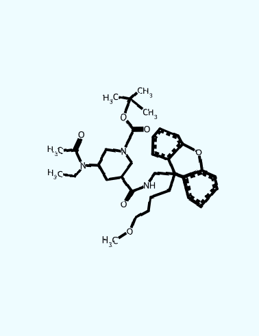 CCN(C(C)=O)C1CC(C(=O)NCC2(CCCCOC)c3ccccc3Oc3ccccc32)CN(C(=O)OC(C)(C)C)C1